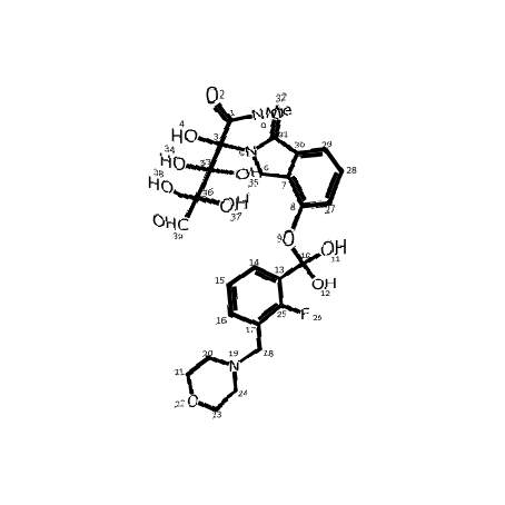 CNC(=O)C(O)(N1Cc2c(OC(O)(O)c3cccc(CN4CCOCC4)c3F)cccc2C1=O)C(O)(O)C(O)(O)C=O